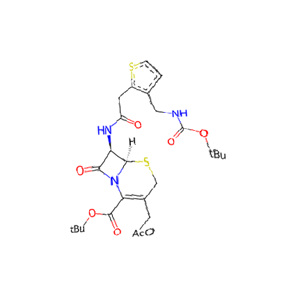 CC(=O)OCC1=C(C(=O)OC(C)(C)C)N2C(=O)[C@@H](NC(=O)Cc3sccc3CNC(=O)OC(C)(C)C)[C@H]2SC1